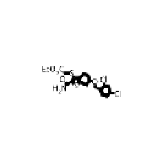 CCOC(=O)CSc1c(C(N)=O)sc2cc(OCc3ccc(Cl)cc3Cl)ccc12